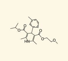 COCCOC(=O)C1=C(C)NC(C)=C(C(=O)OC(C)C)C1c1cccc(C)c1